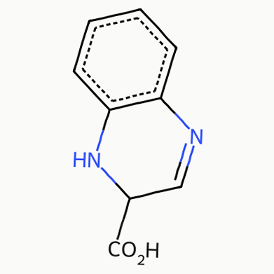 O=C(O)C1C=Nc2ccccc2N1